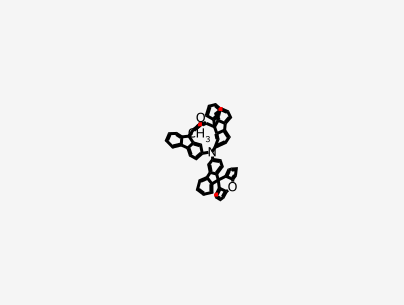 CC12c3ccccc3-c3ccc(cc31)N(c1ccc3c(c1)-c1ccccc1C31c3ccccc3Oc3ccccc31)c1ccc3c(c1)C1(c4ccccc4Oc4c2cccc41)c1ccccc1-3